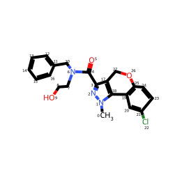 Cn1nc(C(=O)N(CCO)Cc2ccccc2)c2c1-c1cc(Cl)ccc1OC2